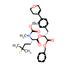 CN(C(=O)OC(C)(C)C)[C@@H](CCC(C)(C)F)C(=O)O[C@H](Cc1ccc(C2=CCOCC2)cc1)C(=O)OCc1ccccc1